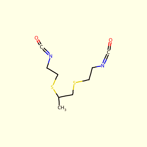 CC(CSCCN=C=O)SCCN=C=O